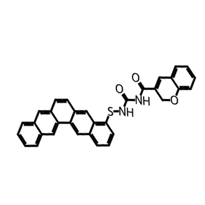 O=C(NSc1cccc2cc3c(ccc4cc5ccccc5cc43)cc12)NC(=O)C1=Cc2ccccc2OC1